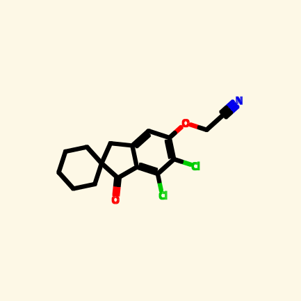 N#CCOc1cc2c(c(Cl)c1Cl)C(=O)C1(CCCCC1)C2